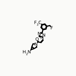 NC1C2CN(C(=O)/C=C\n3cnc(-c4cc(CF)cc(C(F)(F)F)c4)n3)CC12